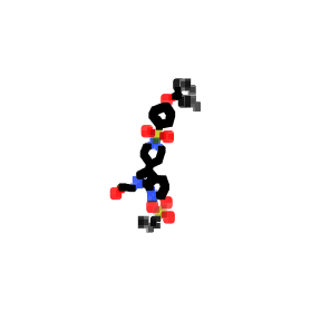 CC(C)Oc1ccc(S(=O)(=O)N2CCC(c3cn(CC=O)c4nc(OS(C)(=O)=O)ccc34)CC2)cc1